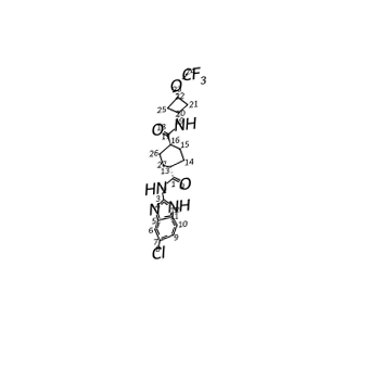 O=C(Nc1nc2cc(Cl)ccc2[nH]1)[C@H]1CC[C@H](C(=O)N[C@H]2C[C@@H](OC(F)(F)F)C2)CC1